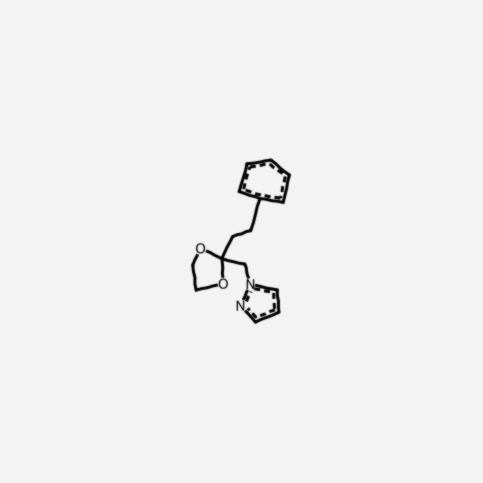 c1ccc(CCC2(Cn3cccn3)OCCO2)cc1